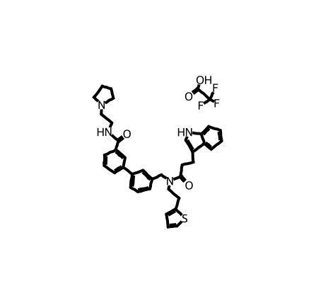 O=C(NCCN1CCCC1)c1cccc(-c2cccc(CN(CCc3cccs3)C(=O)CCc3c[nH]c4ccccc34)c2)c1.O=C(O)C(F)(F)F